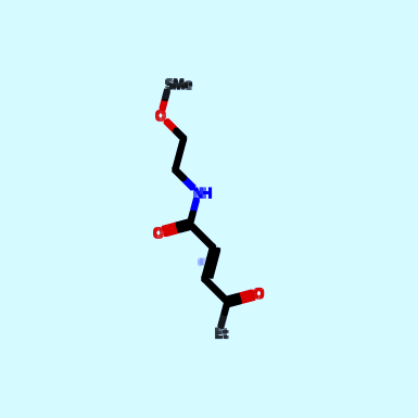 CCC(=O)/C=C/C(=O)NCCOSC